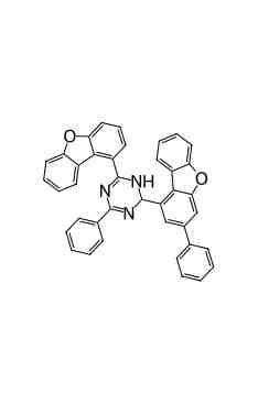 c1ccc(C2=NC(c3cc(-c4ccccc4)cc4oc5ccccc5c34)NC(c3cccc4oc5ccccc5c34)=N2)cc1